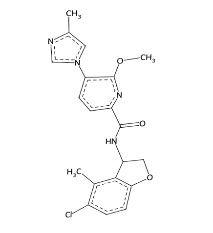 COc1nc(C(=O)NC2COc3ccc(Cl)c(C)c32)ccc1-n1cnc(C)c1